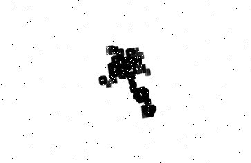 CC1=C(C(=O)OC/C=C/c2ccc(Cn3ccnc3)cc2)C(c2cccc([N+](=O)[O-])c2)C(C(=O)OC(C)C)=C(C)N1